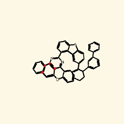 C1=C(c2ccc3sc4cccc(-c5nc(-c6ccccc6)nc(-c6ccccc6Oc6ccccc6)n5)c4c3c2)C(c2cccc(-c3ccccc3)c2)CCC1